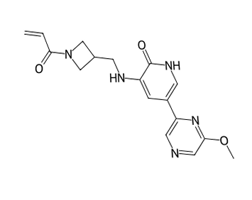 C=CC(=O)N1CC(CNc2cc(-c3cncc(OC)n3)c[nH]c2=O)C1